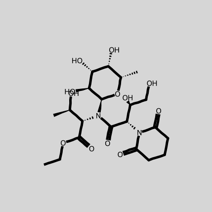 CCOC(=O)[C@H]([C@@H](C)O)N(C(=O)[C@H]([C@@H](O)CO)N1C(=O)CCCC1=O)[C@@H]1O[C@@H](C)[C@@H](O)[C@@H](O)[C@@H]1O